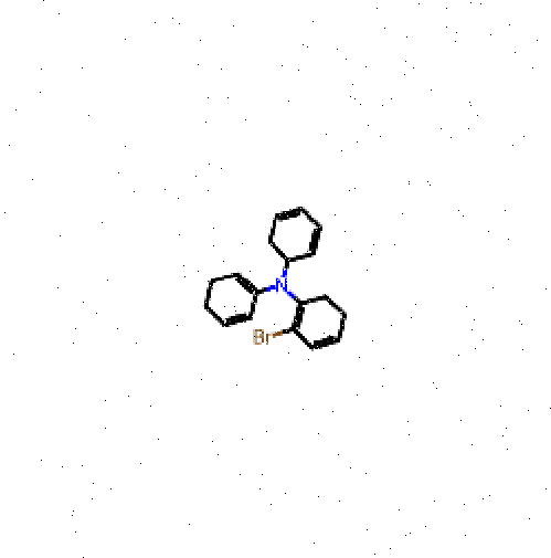 BrC1=C(N(C2=CCCC=C2)C2C=CC=CC2)CCC=C1